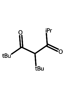 CC(C)C(=O)C(C(=O)C(C)(C)C)C(C)(C)C